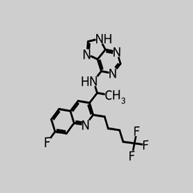 CC(Nc1ncnc2[nH]cnc12)c1cc2ccc(F)cc2nc1CCCCC(F)(F)F